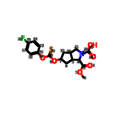 COC(=O)C1C2CC(OC(=S)Oc3ccc(F)cc3)CC2CN1C(=O)O